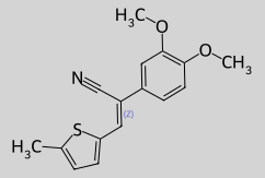 COc1ccc(/C(C#N)=C/c2ccc(C)s2)cc1OC